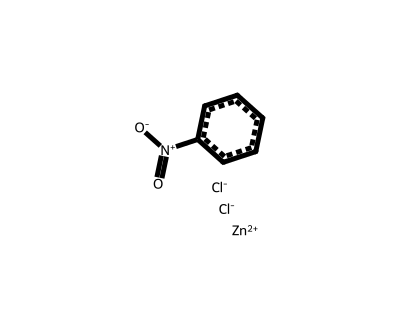 O=[N+]([O-])c1ccccc1.[Cl-].[Cl-].[Zn+2]